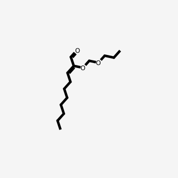 CCCCCCCC=C(C=O)OCOCCC